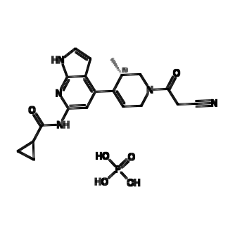 C[C@@H]1CN(C(=O)CC#N)CC=C1c1cc(NC(=O)C2CC2)nc2[nH]ccc12.O=P(O)(O)O